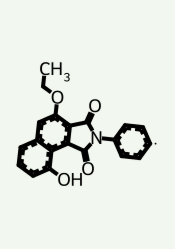 CCOc1cc2cccc(O)c2c2c1C(=O)N(c1cc[c]cc1)C2=O